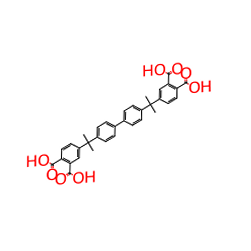 CC(C)(c1ccc(-c2ccc(C(C)(C)c3ccc(C(=O)O)c(C(=O)O)c3)cc2)cc1)c1ccc(C(=O)O)c(C(=O)O)c1